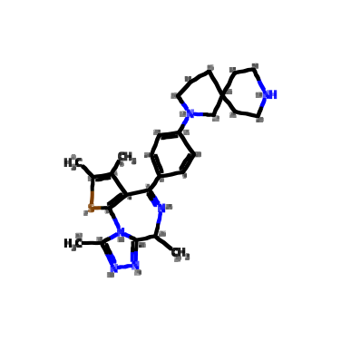 Cc1sc2c(c1C)C(c1ccc(N3CCCC4(CCNCC4)C3)cc1)=NC(C)c1nnc(C)n1-2